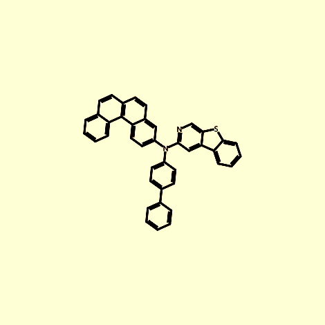 c1ccc(-c2ccc(N(c3ccc4c(ccc5ccc6ccccc6c54)c3)c3cc4c(cn3)sc3ccccc34)cc2)cc1